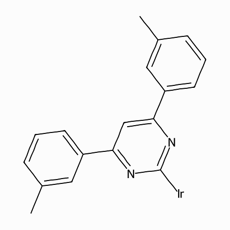 Cc1cccc(-c2cc(-c3cccc(C)c3)n[c]([Ir])n2)c1